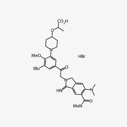 Br.CNC(=O)c1cc2c(cc1N(C)C)CN(CC(=O)c1cc(N3CCC(OC(C)C(=O)O)CC3)c(OC)c(C(C)(C)C)c1)C2=N